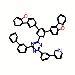 c1ccc(-c2cccc(-c3nc(-c4cccc(-c5cccnc5)c4)nc(-c4cc(-c5ccc6oc7ccccc7c6c5)cc(-c5ccc6oc7ccccc7c6c5)c4)n3)c2)cc1